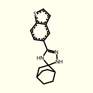 c1cc2cc(C3=NNC4(CC5CCC4CC5)N3)ccc2s1